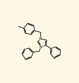 Cc1ccc(Cn2cc(-c3ccccc3)[n+](Cc3ccccc3)c2)cc1